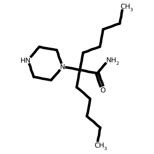 CCCCCC(CCCCC)(C(N)=O)N1CCNCC1